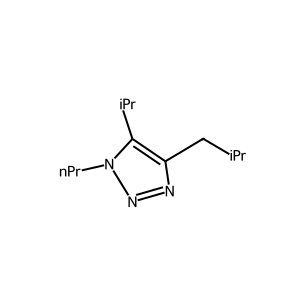 CCCn1nnc(CC(C)C)c1C(C)C